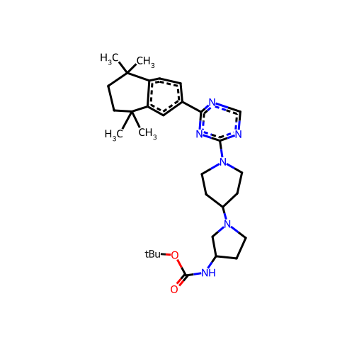 CC(C)(C)OC(=O)NC1CCN(C2CCN(c3ncnc(-c4ccc5c(c4)C(C)(C)CCC5(C)C)n3)CC2)C1